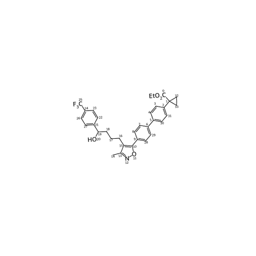 CCOC(=O)C1(c2ccc(-c3ccc(-c4onc(C)c4CCCC(O)c4ccc(C(F)(F)F)cc4)cc3)cc2)CC1